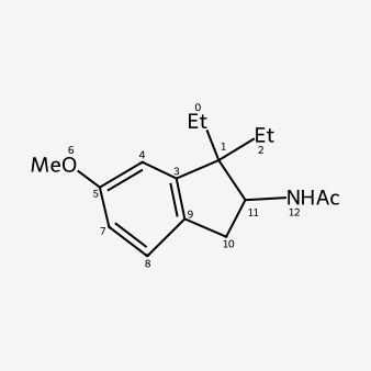 CCC1(CC)c2cc(OC)ccc2CC1NC(C)=O